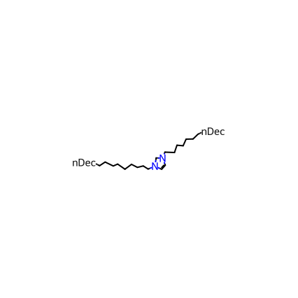 CCCCCCCCCCCCCCCCCCCN1C=CN(CCCCCCCCCCCCCCCCC)C1